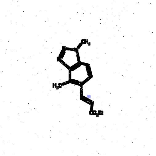 CCOC(=O)/C=C/c1ccc2c(nnn2C)c1C